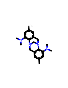 Cc1cc2c(c(N(C)C)c1)N1Cc3cc(C(F)(F)F)cc(N(C)C)c3N(C2)C1